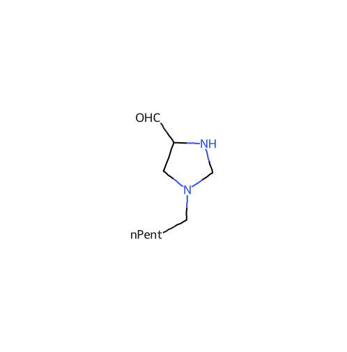 CCCCCCN1CNC(C=O)C1